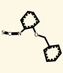 S=C=Nc1ccccc1OCc1ccccc1